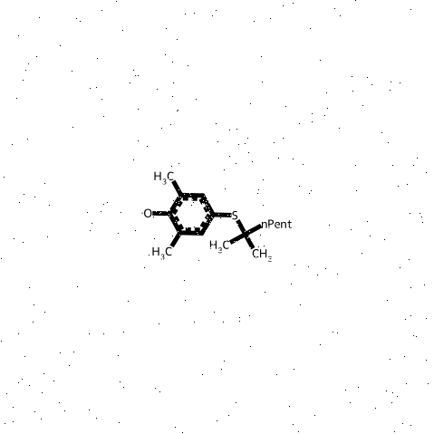 CCCCCC(C)(C)Sc1cc(C)c([O])c(C)c1